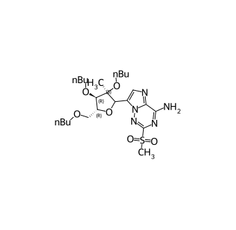 CCCCOC[C@H]1OC(c2cnc3c(N)nc(S(C)(=O)=O)nn23)[C@](C)(OCCCC)[C@@H]1OCCCC